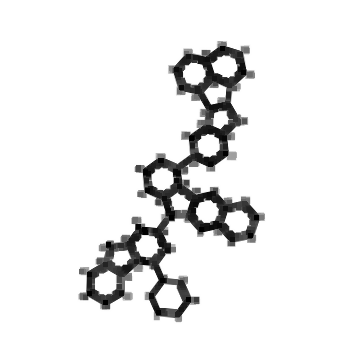 C1=CCC(c2nc(-n3c4cc5ccccc5cc4c4c(-c5ccc6sc7c(c6c5)-c5cccc6cccc-7c56)cccc43)nc3sc4ccccc4c23)C=C1